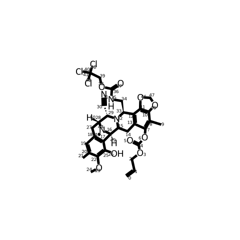 C=CCOC(=O)Oc1c(C)c2c(c3c1CC1[C@H]4c5c(cc(C)c(OC)c5O)C[C@H]([C@H](C#N)N1[C@H]3CNC(=O)OCC(Cl)(Cl)Cl)N4C)OCO2